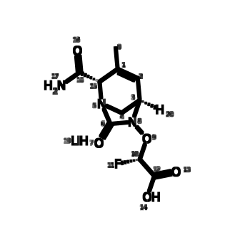 CC1=C[C@@H]2CN(C(=O)N2O[C@@H](F)C(=O)O)[C@@H]1C(N)=O.[LiH]